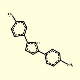 Nc1ccc(-c2ccc(-c3ccc(N)cc3)[nH]2)cc1